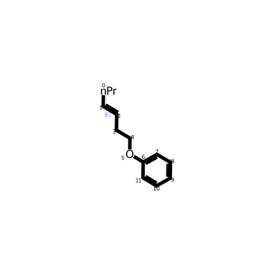 CCC/C=C/CCOc1c[c]ccc1